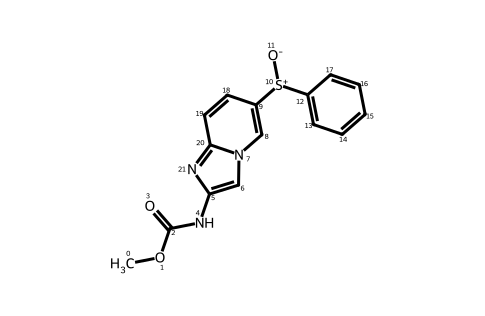 COC(=O)Nc1cn2cc([S+]([O-])c3ccccc3)ccc2n1